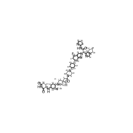 C[C@@H]1CC(O)(CC(=O)N2CCN(c3ccc(-c4cc(F)c5cn(C(C(=O)Nc6nccs6)c6ncn7c6CCC7)nc5c4)cc3)CC2)C[C@H](C)N1c1ccc(NC2CCC(=O)NC2=O)cc1F